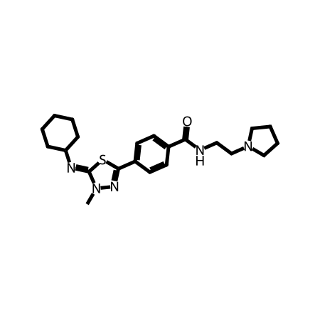 Cn1nc(-c2ccc(C(=O)NCCN3CCCC3)cc2)sc1=NC1CCCCC1